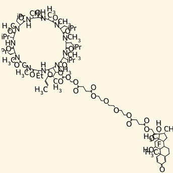 C/C=C/C[C@@H](C)C(OC(=O)OCOC(=O)CCC(=O)OCCOCCOCCOC(=O)CCC(=O)OCC(=O)[C@@]1(O)[C@H](C)CC2C3CCC4=CC(=O)C=C[C@]4(C)[C@@]3(F)[C@@H](O)C[C@@]21C)C1C(=O)NC(CC)C(=O)N(C)CC(=O)N(C)[C@@H](CC(C)C)C(=O)NC(C(C)C)C(=O)N(C)C(CC(C)C)C(=O)NC(C)C(=O)NC(C)C(=O)N(C)C(CC(C)C)C(=O)N(C)C(CC(C)C)C(=O)N(C)C(C(C)C)C(=O)N1C